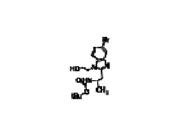 CC(Cc1nc2cc(Br)ccc2n1CCO)NC(=O)OC(C)(C)C